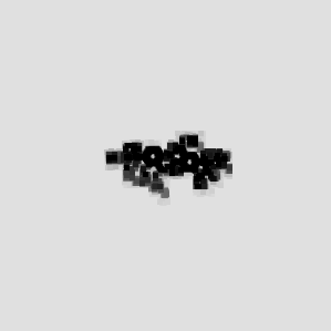 CCN1C(=O)C(C)(OC)c2cc3c(C)nnc(N[C@H](C)c4cccc(C(F)(F)C(C)(C)O)c4C)c3cc21